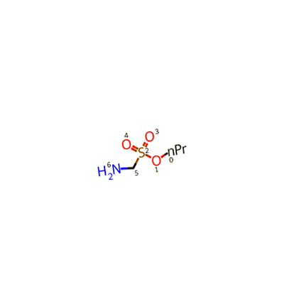 CCCOS(=O)(=O)CN